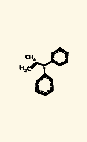 C.C=CP(c1ccccc1)c1ccccc1